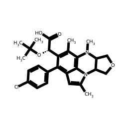 Cc1c([C@H](OC(C)(C)C)C(=O)O)c(-c2ccc(Cl)cc2)c2cc(C)n3c2c1N(C)C1COCC13